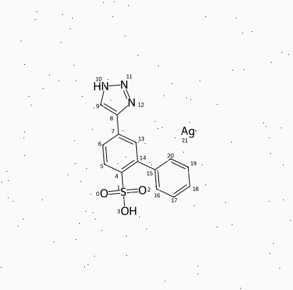 O=S(=O)(O)c1ccc(-c2c[nH]nn2)cc1-c1ccccc1.[Ag]